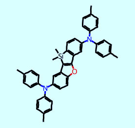 Cc1ccc(N(c2ccc(C)cc2)c2ccc3c(c2)-c2oc4ccc(N(c5ccc(C)cc5)c5ccc(C)cc5)cc4c2[Si]3(C)C)cc1